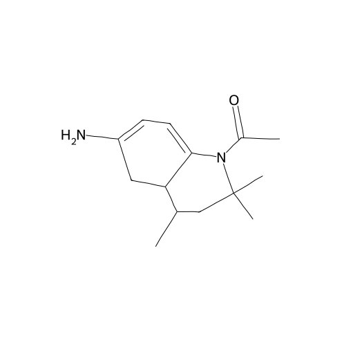 CC(=O)N1C2=CC=C(N)CC2C(C)CC1(C)C